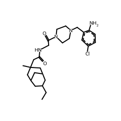 CCC1CC2CC(C1)CC(C)(CC(=O)NCC(=O)N1CCN(Cc3cc(Cl)ccc3N)CC1)C2